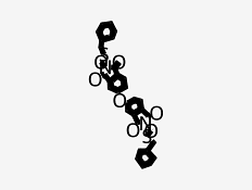 O=C1c2ccc(Oc3ccc4c(c3)C(=O)N(OSCc3ccccc3)C4=O)cc2C(=O)N1OSCc1ccccc1